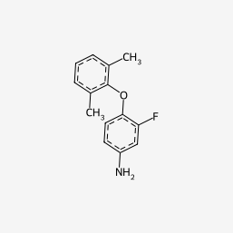 Cc1cccc(C)c1Oc1ccc(N)cc1F